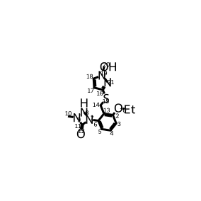 CCOc1cccc(-n2[nH]n(C)c2=O)c1CSc1ccn(O)n1